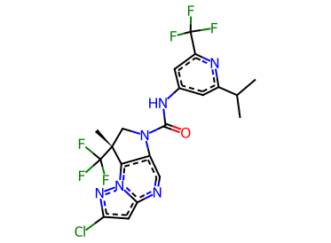 CC(C)c1cc(NC(=O)N2C[C@@](C)(C(F)(F)F)c3c2cnc2cc(Cl)nn32)cc(C(F)(F)F)n1